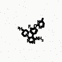 [2H]C1CCN(c2ncnc(N)c2-c2ccc(Oc3nccc(C)n3)c(F)c2)CC1